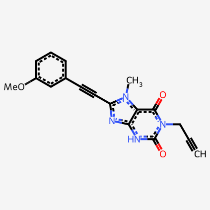 C#CCn1c(=O)[nH]c2nc(C#Cc3cccc(OC)c3)n(C)c2c1=O